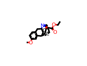 CCOC(=O)C1CC2C3Cc4ccc(OC)cc4[C@@]24CCCCCN3C1C4